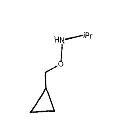 CC(C)NOCC1CC1